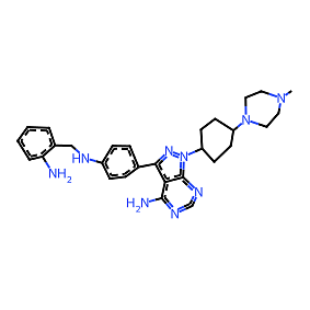 CN1CCN(C2CCC(n3nc(-c4ccc(NCc5ccccc5N)cc4)c4c(N)ncnc43)CC2)CC1